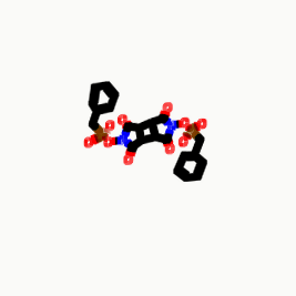 O=C1C2C(C(=O)N1OS(=O)(=O)Cc1ccccc1)C1C(=O)N(OS(=O)(=O)Cc3ccccc3)C(=O)C21